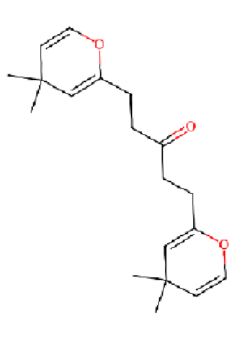 CC1(C)C=COC(CCC(=O)CCC2=CC(C)(C)C=CO2)=C1